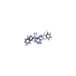 Fc1ccccc1CN1Cc2ncnc(Nc3cnc4ccccc4c3)c2C1